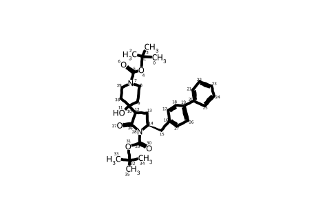 CC(C)(C)OC(=O)N1CCC(O)(C2C[C@@H](Cc3ccc(-c4ccccc4)cc3)N(C(=O)OC(C)(C)C)C2=O)CC1